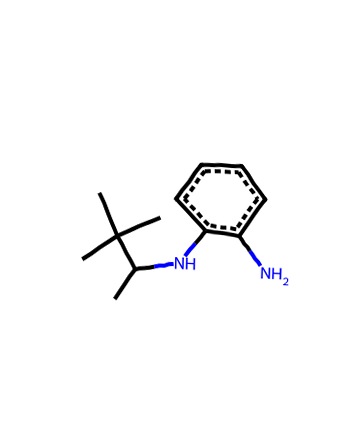 CC(Nc1ccccc1N)C(C)(C)C